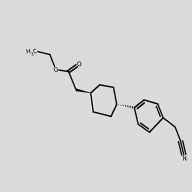 CCOC(=O)C[C@H]1CC[C@H](c2ccc(CC#N)cc2)CC1